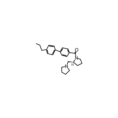 CCCc1ccc(-c2ccc(C(=O)N3CCC[C@H]3CN3CCCC3)cc2)cc1